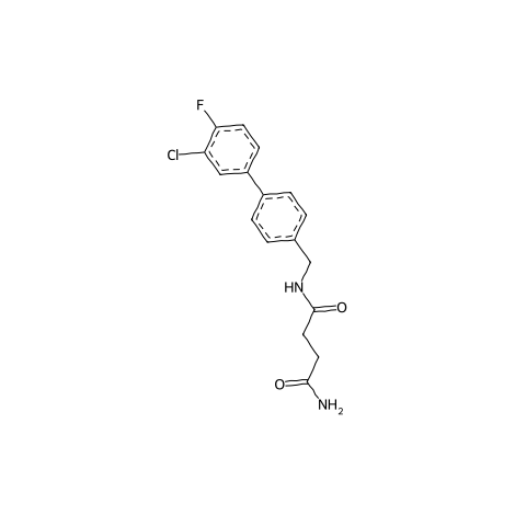 NC(=O)CCC(=O)NCc1ccc(-c2ccc(F)c(Cl)c2)cc1